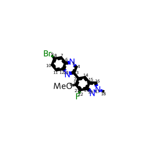 COc1c(-c2cnc3cc(Br)ccc3n2)cc2cn(C)nc2c1F